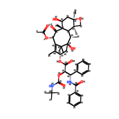 CC(=O)OC1C(=O)[C@@]2(C)C([C@H](C)[C@]3(O)C[C@H](OC(=O)[C@H](OC(=O)NC(C)(C)C)[C@@H](NC(=O)c4ccccc4)c4ccccc4)C(C)=C1C3(C)C)[C@]1(C)CO[C@@H]1C[C@@H]2O